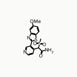 COc1ccc2sc(-c3cnccc3C(C(N)=O)S(C)(=O)=O)nc2c1